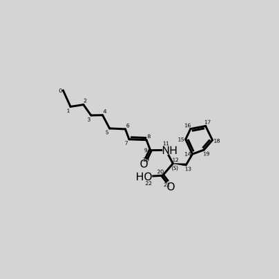 CCCCCCCC=CC(=O)N[C@@H](Cc1ccccc1)C(=O)O